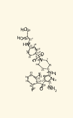 Nc1nc(NC2CCN(S(=O)(=O)c3ccc(NCC(O)CO)nc3)CC2)sc1C(=O)c1c(F)cccc1F